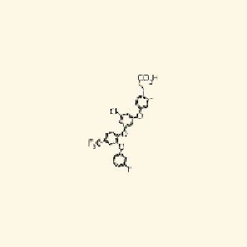 Cc1cc(Oc2cc(Cl)cc(Oc3ccc(C(F)(F)F)cc3Oc3cccc(F)c3)c2)ccc1CCC(=O)O